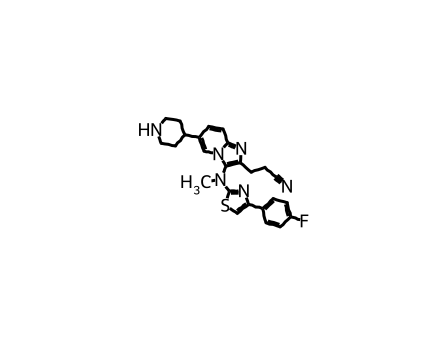 CN(c1nc(-c2ccc(F)cc2)cs1)c1c(CCC#N)nc2ccc(C3CCNCC3)cn12